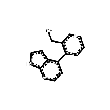 OCc1ccccc1-c1ccnc2[nH]ccc12